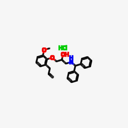 C=CCc1cccc(OC)c1OCC(O)CNC(c1ccccc1)c1ccccc1.Cl